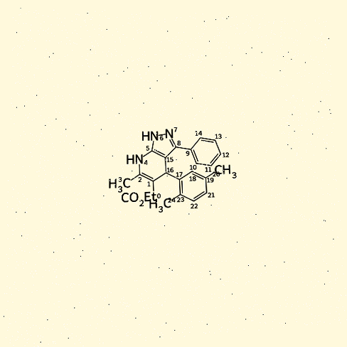 CCOC(=O)C1=C(C)Nc2[nH]nc(-c3ccccc3)c2C1c1cc(C)ccc1C